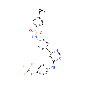 Cc1ccc(S(=O)(=O)Nc2ccc(-c3cc(Nc4ccc(OC(F)(F)F)cc4)ncn3)cc2)cc1